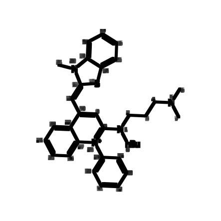 CCCCN(CCCN(C)C)c1cc(/C=C2\Sc3ccccc3N2C)c2ccccc2[n+]1-c1ccccc1